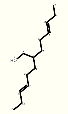 CCC=CCCC(CO)CCC=CCC